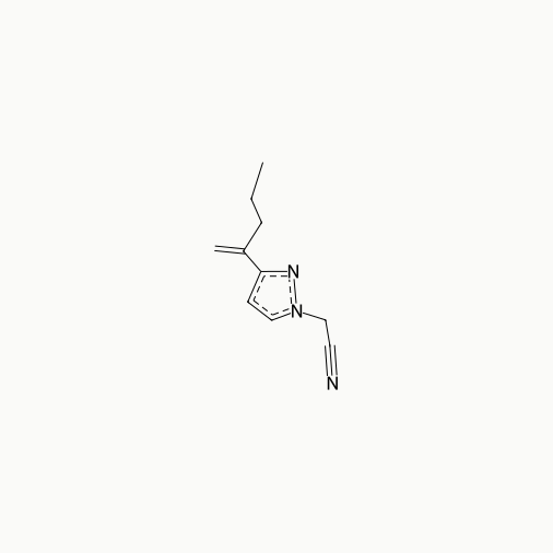 C=C(CCC)c1ccn(CC#N)n1